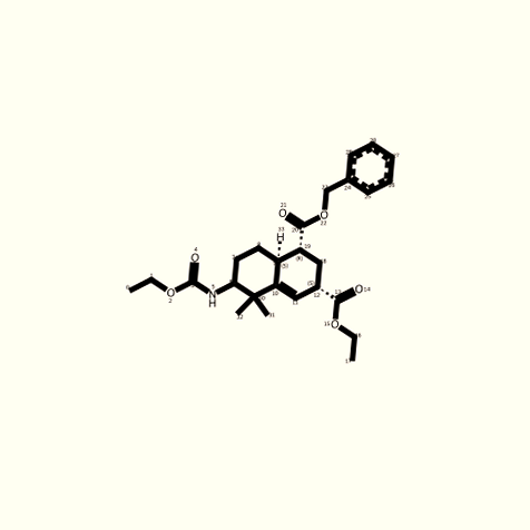 CCOC(=O)NC1CC[C@@H]2C(=C[C@@H](C(=O)OCC)C[C@H]2C(=O)OCc2ccccc2)C1(C)C